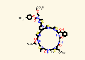 CNC(=O)C[C@@H]1NC(=O)c2csc(n2)-c2ccc(-c3nc(N(CCOCC(=O)O)C(=O)O[C@H]4CC[C@H](C(=O)O)CC4)cs3)nc2-c2csc(n2)-c2csc(n2)[C@H]([C@@H](O)c2ccccc2)NC(=O)CNC(=O)c2nc(sc2COC)C(C(C)C)NC(=O)c2nc1sc2C